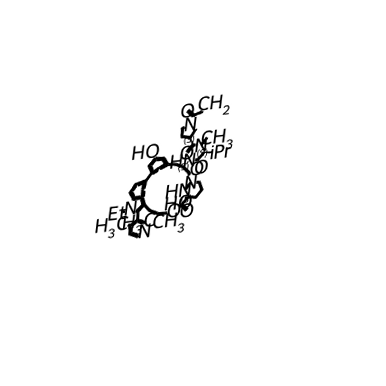 C=CC(=O)N1CC[C@H](C(=O)N(C)[C@H](C(=O)N[C@H]2Cc3cc(O)cc(c3)-c3ccc4c(c3)c(c(-c3cnccc3C)n4CC)CC(C)(C)COC(=O)[C@@]3(O)CCCN(N3)C2=O)C(C)C)C1